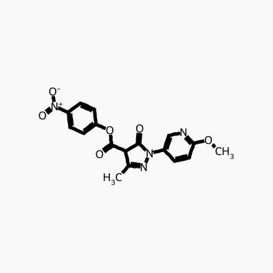 COc1ccc(N2N=C(C)C(C(=O)Oc3ccc([N+](=O)[O-])cc3)C2=O)cn1